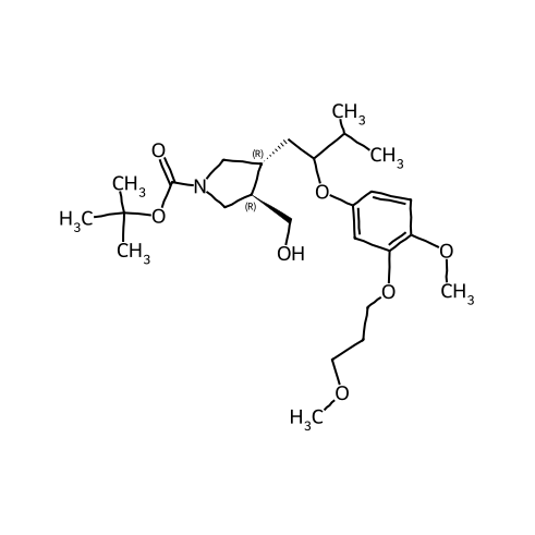 COCCCOc1cc(OC(C[C@H]2CN(C(=O)OC(C)(C)C)C[C@@H]2CO)C(C)C)ccc1OC